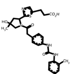 Cc1ccccc1NC(=O)Nc1ccc(CC(=O)N2CC(C)(O)CC2c2ncc(CCC(=O)O)s2)cc1